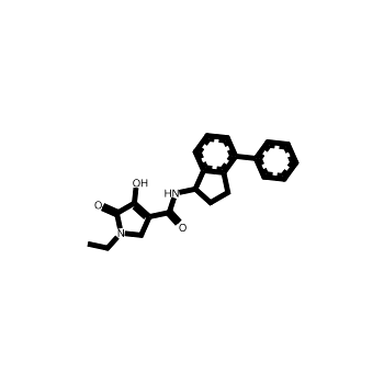 CCN1CC(C(=O)NC2CCc3c(-c4ccccc4)cccc32)=C(O)C1=O